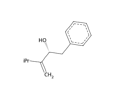 C=C(C(C)C)[C@H](O)Cc1ccccc1